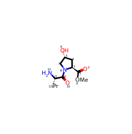 COC(=O)[C@@H]1C[C@@H](O)CN1C(=O)[C@@H](N)C(C)C